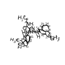 C=CCNC(=O)c1cnc(Nc2cc3c4c(c2)CN(C)CC4CCCCC3)nc1Nc1ccc2c(n1)C(O)(CC)CC2